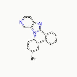 CC(C)c1ccc2c(c1)c1ccccc1c1nc3ccncc3n21